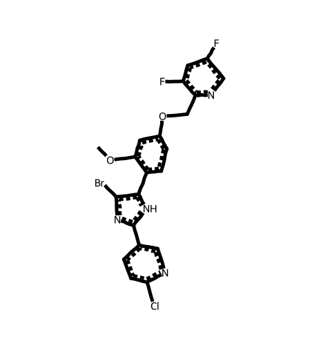 COc1cc(OCc2ncc(F)cc2F)ccc1-c1[nH]c(-c2ccc(Cl)nc2)nc1Br